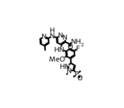 COc1c(Nc2cc(Nc3cc(C)ccn3)nnc2C(N)=O)cc(F)cc1C1C=C(P(C)(C)=O)N(C)N1